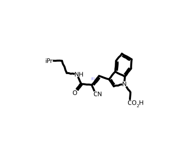 CC(C)CCNC(=O)/C(C#N)=C/c1cn(CC(=O)O)c2ccccc12